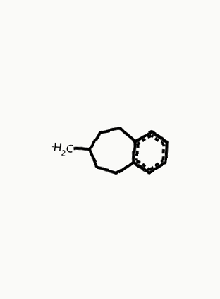 [CH2]C1CCc2ccccc2CC1